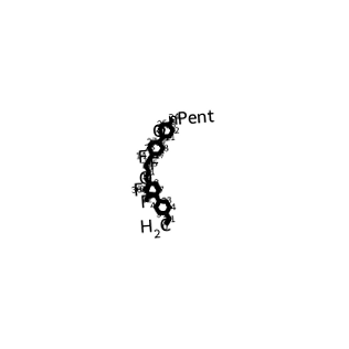 C=CC1CCC(c2ccc(OCCC(F)(F)C3CCC(C4CCC(CCCCC)CO4)CC3)c(F)c2F)CC1